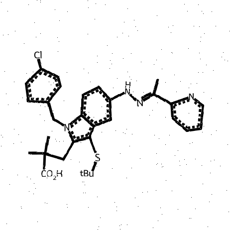 C/C(=N\Nc1ccc2c(c1)c(SC(C)(C)C)c(CC(C)(C)C(=O)O)n2Cc1ccc(Cl)cc1)c1ccccn1